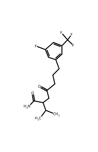 CC(C)C(CC(=O)CCCc1cc(F)cc(C(F)(F)F)c1)C(N)=O